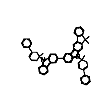 CC1(C)c2ccccc2-c2cc3c4cc(-c5ccc6c(c5)c5ccccc5n6C5(C)C=CC=C(c6ccccc6)C5)ccc4n(C4(C)C=CC(c5ccccc5)=CC4)c3cc21